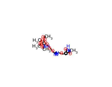 CC(=O)NC1C(OC(C)=O)[C@@H](OC(C)=O)C(COC(C)=O)O[C@H]1OCCOCCOCc1cn(CCOCc2ccc3c(=O)n(C)[nH]c(=O)c3c2)nn1